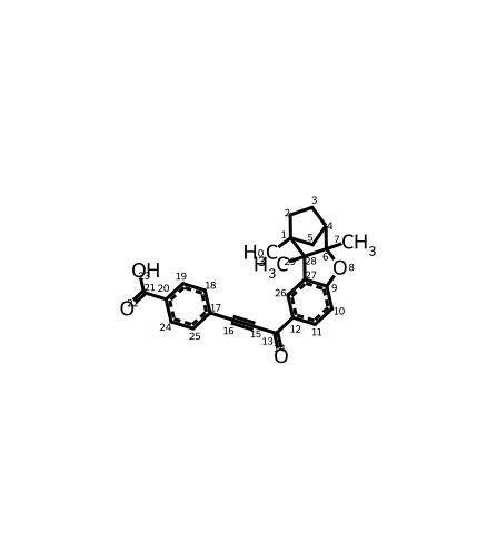 CC12CCC(C1)C1(C)Oc3ccc(C(=O)C#Cc4ccc(C(=O)O)cc4)cc3C21C